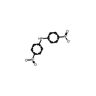 O=[N+]([O-])c1ccc(Pc2ccc([N+](=O)[O-])cc2)cc1